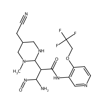 CN1CC(CC#N)CNC1C(C(=O)Nc1cnccc1OCC(F)(F)F)C(N)N=O